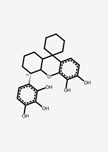 Oc1ccc([C@@H]2CCCC3C2Oc2c(ccc(O)c2O)C32CCCCC2)c(O)c1O